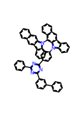 c1ccc(-c2cccc(-c3nc(-c4ccccc4)nc(-c4ccc(-n5c6ccccc6c6cc7ccccc7c(-n7c8ccccc8c8cc9ccccc9cc87)c65)cc4)n3)c2)cc1